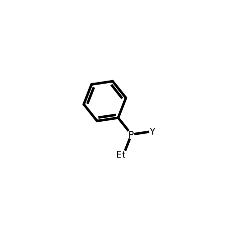 CC[P]([Y])c1ccccc1